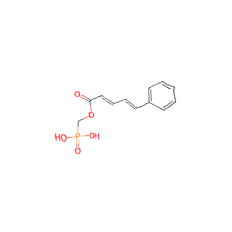 O=C(/C=C/C=C/c1ccccc1)OCP(=O)(O)O